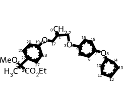 C=C(COc1ccc(Oc2ccccc2)cc1)COc1ccc([C@](C)(OC)C(=O)OCC)cc1